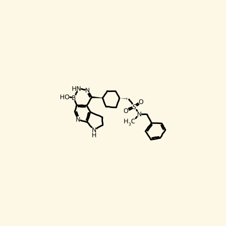 CN(Cc1ccccc1)S(=O)(=O)C[C@H]1CC[C@H](C2=NNB(O)c3cnc4c(c32)CCN4)CC1